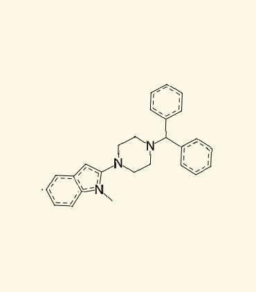 Cn1c(N2CCN(C(c3ccccc3)c3ccccc3)CC2)cc2c[c]ccc21